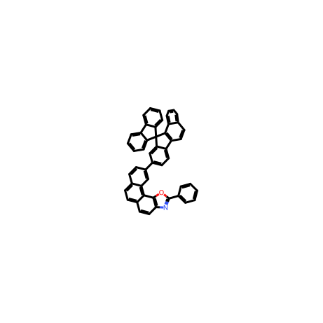 c1ccc(-c2nc3ccc4ccc5ccc(-c6ccc7c(c6)C6(c8ccccc8-c8ccccc86)c6c-7ccc7ccccc67)cc5c4c3o2)cc1